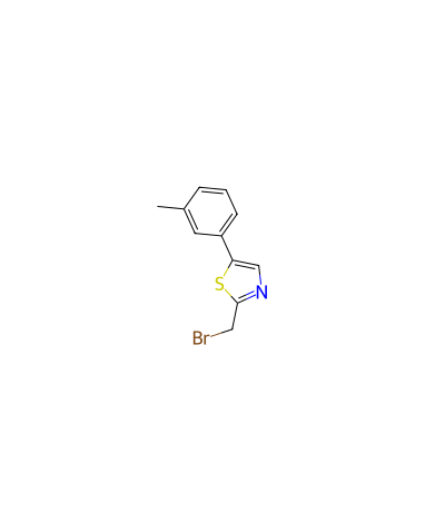 Cc1cccc(-c2cnc(CBr)s2)c1